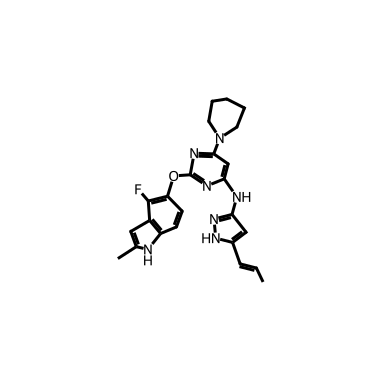 C/C=C/c1cc(Nc2cc(N3CCCCC3)nc(Oc3ccc4[nH]c(C)cc4c3F)n2)n[nH]1